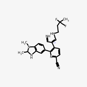 CC1Nc2cc(-c3nc(C#N)ccc3/C(C=N)=C/NCCC(C)(F)F)ccc2N1C